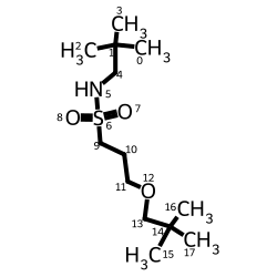 CC(C)(C)CNS(=O)(=O)CCCOCC(C)(C)C